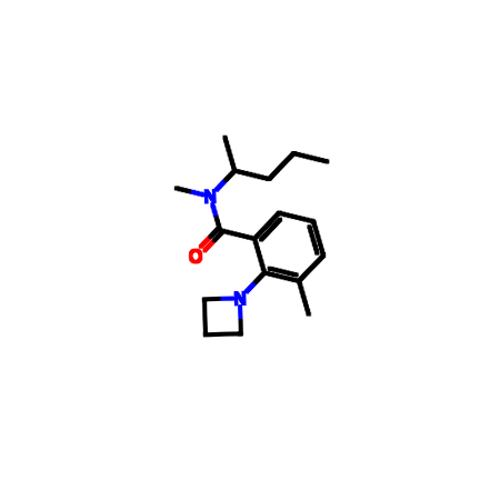 CCCC(C)N(C)C(=O)c1cccc(C)c1N1CCC1